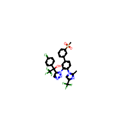 Cc1nc(C(F)(F)F)cn1-c1ccc(-c2cccc(S(C)(=O)=O)c2)cc1-n1nncc1C(O)(c1ccc(Cl)cc1)C(F)(F)F